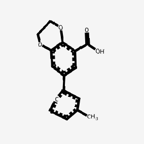 Cc1cccc(-c2cc3c(c(C(=O)O)c2)OCCO3)c1